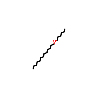 CCCCCCCCCCCCCOCCCCCC